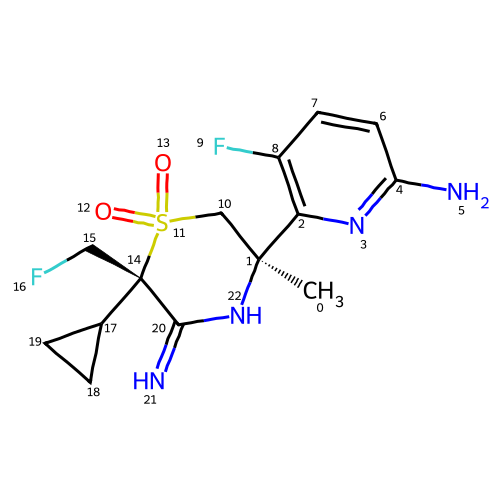 C[C@@]1(c2nc(N)ccc2F)CS(=O)(=O)[C@@](CF)(C2CC2)C(=N)N1